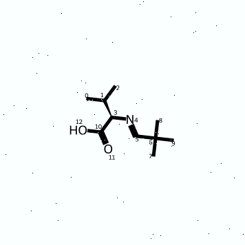 CC(C)[C@@H](/N=C/C(C)(C)C)C(=O)O